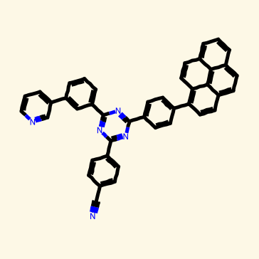 N#Cc1ccc(-c2nc(-c3ccc(-c4ccc5ccc6cccc7ccc4c5c67)cc3)nc(-c3cccc(-c4cccnc4)c3)n2)cc1